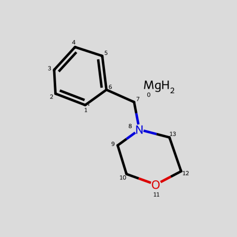 [MgH2].[c]1ccccc1CN1CCOCC1